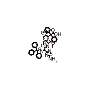 CS(=O)(=O)C1=C(C(C(=O)O)(c2ccccc2)c2ccccc2)N2C(=O)[C@@H](NC(=O)/C(=N\OC(c3ccccc3)(c3ccccc3)c3ccccc3)c3nsc(N)n3)[C@@H]2SC1